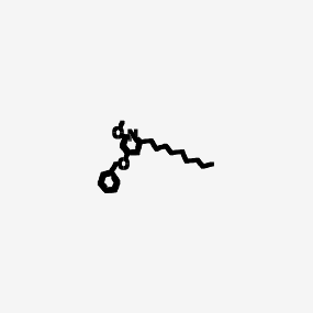 CCCCCCCCCc1cc(OCc2ccccc2)cc(OC)n1